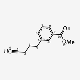 C#CCCCc1cccc(C(=O)OC)c1